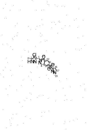 Cc1[nH]nc(Cn2ncc3cc(S(=O)(=O)c4ccn(C)n4)ccc3c2=O)c1Cl